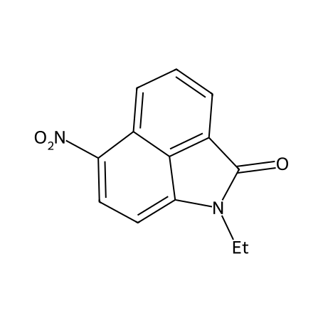 CCN1C(=O)c2cccc3c([N+](=O)[O-])ccc1c23